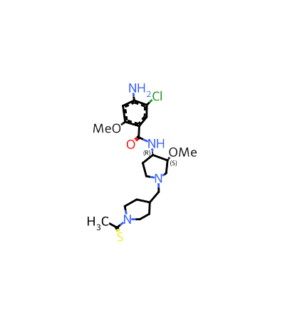 COc1cc(N)c(Cl)cc1C(=O)N[C@@H]1CCN(CC2CCN(C(C)=S)CC2)C[C@@H]1OC